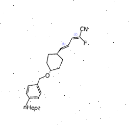 CCCCCCCc1ccc(CO[C@H]2CC[C@H](/C=C/C=C(\F)C#N)CC2)cc1